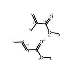 C/C=C/C(=O)OC.C=C(C)C(=O)OC